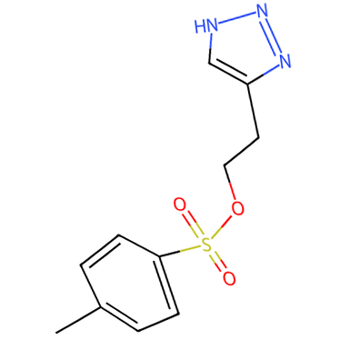 Cc1ccc(S(=O)(=O)OCCc2c[nH]nn2)cc1